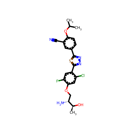 CC(C)Oc1ccc(-c2nnc(-c3cc(F)c(OC[C@@H](N)[C@H](C)O)cc3Cl)s2)cc1C#N